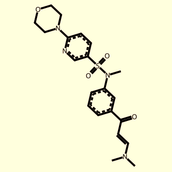 CN(C)C=CC(=O)c1cccc(N(C)S(=O)(=O)c2ccc(N3CCOCC3)nc2)c1